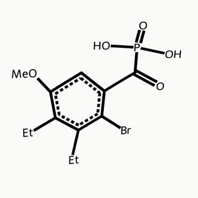 CCc1c(OC)cc(C(=O)P(=O)(O)O)c(Br)c1CC